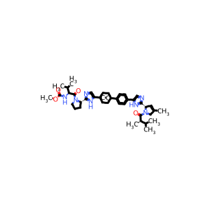 COC(=O)N[C@H](C(=O)N1CCC[C@H]1c1ncc(C23CCC(c4ccc(-c5cnc([C@@H]6C=C(C)CN6C(=O)[C@@H](C)C(C)C)[nH]5)cc4)(CC2)CC3)[nH]1)C(C)C